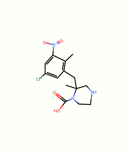 Cc1c(CC2(C)CNCCN2C(=O)O)cc(Cl)cc1[N+](=O)[O-]